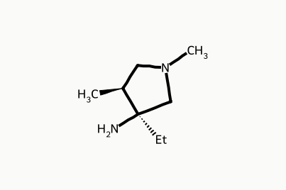 CC[C@@]1(N)CN(C)C[C@@H]1C